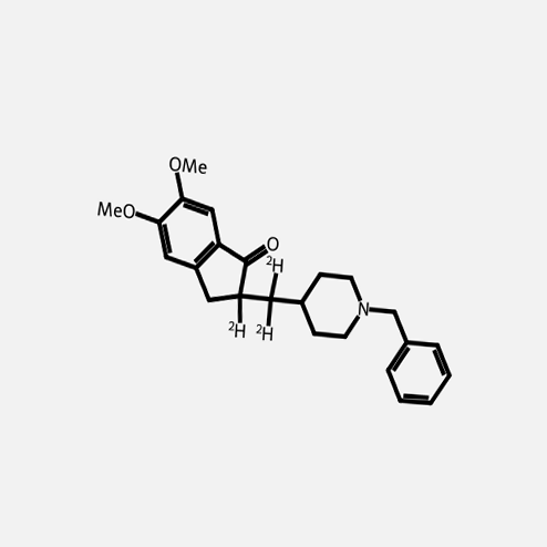 [2H]C1(C([2H])([2H])C2CCN(Cc3ccccc3)CC2)Cc2cc(OC)c(OC)cc2C1=O